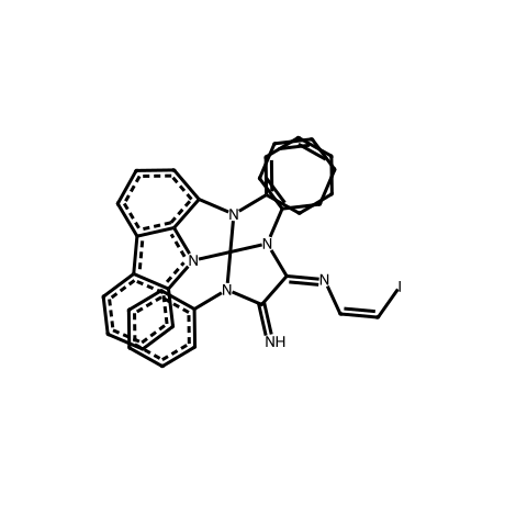 N=C1/C(=N\C=C/I)N(C2=CC=CCC2)C2(N1c1ccccc1)N(C1=CC=CCC1)c1cccc3c4ccccc4n2c13